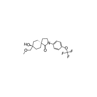 COC[C@]1(O)CC[C@@]2(CCN(c3ccc(OC(F)(F)F)cc3)C2=O)CC1